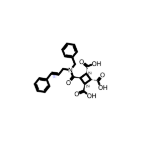 O=C(O)[C@@H]1[C@H](C(=O)O)[C@@H](C(=O)O)[C@H]1C(=O)N(C/C=C/c1ccccc1)Cc1ccccc1